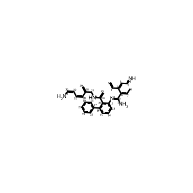 C=CC(=C/C=N)/C(=C\C)C(/N)=N/c1cccc(-c2ccccc2)c1C(=C)NCC(=C)/C=C\C=C/N